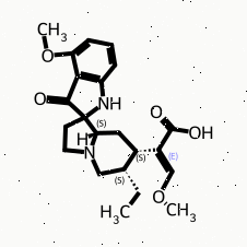 CC[C@@H]1CN2CCC3(Nc4cccc(OC)c4C3=O)[C@@H]2C[C@@H]1/C(=C\OC)C(=O)O